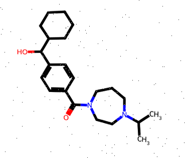 CC(C)N1CCCN(C(=O)c2ccc(C(O)C3CCCCC3)cc2)CC1